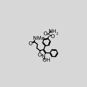 CNC(=O)CCC1ON(O)C(c2ccccc2)=C1c1ccc(S(N)(=O)=O)cc1